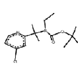 CCN(C(=O)OC(C)(C)C)C(C)(C)c1cc(Cl)ccn1